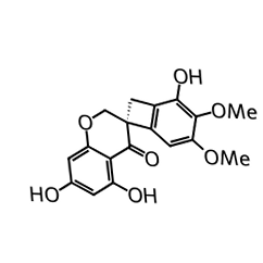 COc1cc2c(c(O)c1OC)C[C@]21COc2cc(O)cc(O)c2C1=O